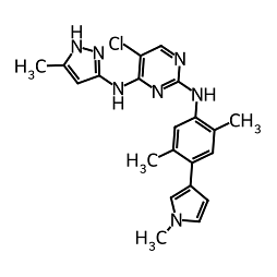 Cc1cc(Nc2nc(Nc3cc(C)c(-c4ccn(C)c4)cc3C)ncc2Cl)n[nH]1